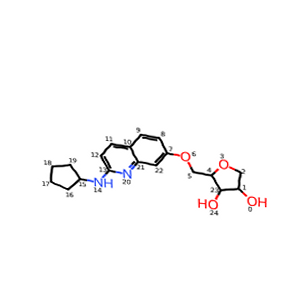 OC1COC(COc2ccc3ccc(NC4CCCC4)nc3c2)C1O